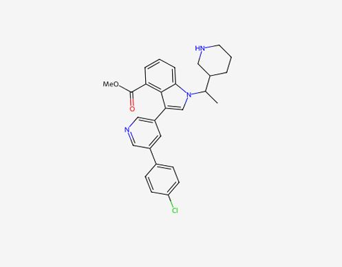 COC(=O)c1cccc2c1c(-c1cncc(-c3ccc(Cl)cc3)c1)cn2C(C)C1CCCNC1